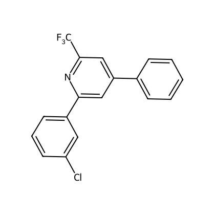 FC(F)(F)c1cc(-c2ccccc2)cc(-c2cccc(Cl)c2)n1